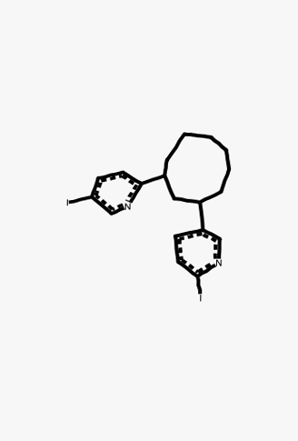 Ic1ccc(C2CCCCCCC(c3ccc(I)nc3)C2)nc1